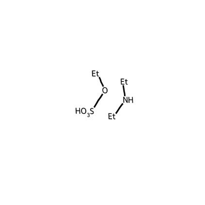 CCNCC.CCOS(=O)(=O)O